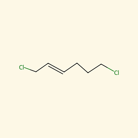 ClC/C=C/CCCCl